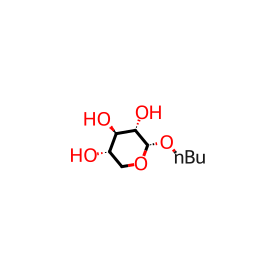 CCCCO[C@@H]1OC[C@H](O)[C@@H](O)[C@@H]1O